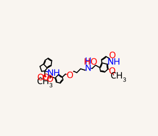 COC(=O)C1(NC(=O)c2cccc(COCCCCNCC(O)c3ccc(OC)c4[nH]c(=O)ccc34)c2)CCc2ccccc21